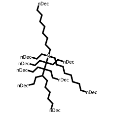 CCCCCCCCCCCCCCCCCC[N+](CCCCCCCCCCCC)(CCCCCCCCCCCCCCCCCC)C(CCCCCCCCCCCC)(CCCCCCCCCCCC)C(CCCCCCCCCCCC)(CCCCCCCCCCCC)C(CCCCCCCCCCCC)CCCCCCCCCCCCCCC